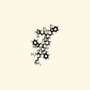 NCCCC[C@H](NC(=O)[C@@H](Cc1ccccc1)NC(=O)[C@H](Cc1c[nH]c2ccccc12)N1CCCN(NC[C@@H](Cc2c[nH]c3ccccc23)NC(=O)[C@@H](N)Cc2cnc[nH]2)C1=O)C(N)=O